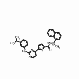 CC(O)c1cccc(Nc2nccc(-c3ccc(C(=O)N[C@H](C)c4cccc5ccccc45)s3)n2)c1